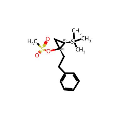 C[Si](C)(C)[C@@H]1C[C@@]1(CCc1ccccc1)OS(C)(=O)=O